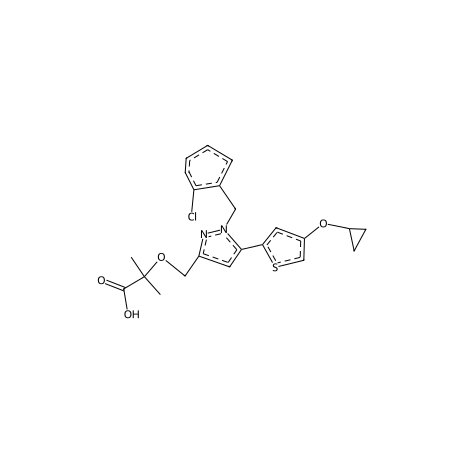 CC(C)(OCc1cc(-c2cc(OC3CC3)cs2)n(Cc2ccccc2Cl)n1)C(=O)O